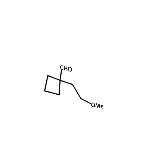 COCCC1(C=O)CCC1